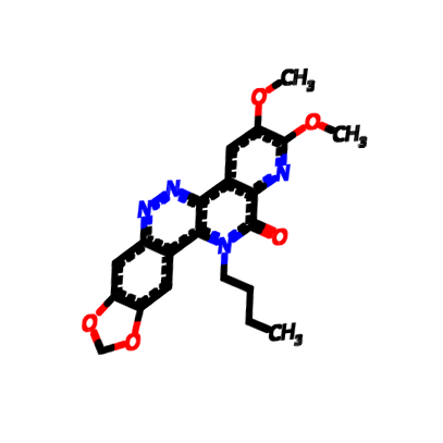 CCCCn1c(=O)c2nc(OC)c(OC)cc2c2nnc3cc4c(cc3c21)OCO4